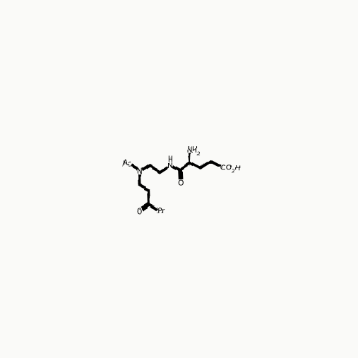 CC(=O)N(CCNC(=O)[C@@H](N)CCC(=O)O)CCC(=O)C(C)C